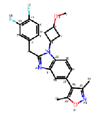 COC1CC(n2c(Cc3ccc(F)c(F)c3)nc3cc(-c4c(C)noc4C)ccc32)C1